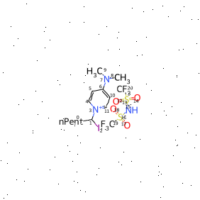 CCCCCC(I)[n+]1ccc(N(C)C)cc1.O=S(=O)(NS(=O)(=O)C(F)(F)F)C(F)(F)F